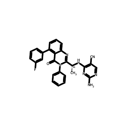 C[C@@H](Nc1nc(N)ncc1C#N)c1nc2cccc(-c3cccc(F)c3)c2c(=O)n1-c1ccccc1